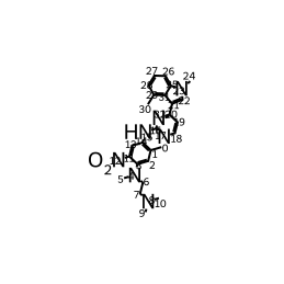 Cc1cc(N(C)CCN(C)C)c([N+](=O)[O-])cc1Nc1nccc(-c2cn(C)c3cccc(C)c23)n1